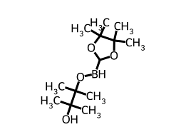 CC(C)(O)C(C)(C)OBC1OC(C)(C)C(C)(C)O1